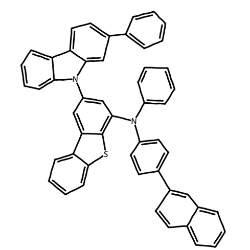 c1ccc(-c2ccc3c4ccccc4n(-c4cc(N(c5ccccc5)c5ccc(-c6ccc7ccccc7c6)cc5)c5sc6ccccc6c5c4)c3c2)cc1